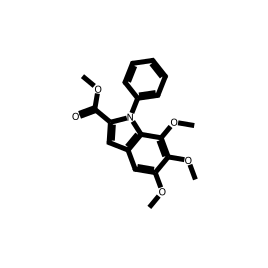 COC(=O)c1cc2cc(OC)c(OC)c(OC)c2n1-c1ccccc1